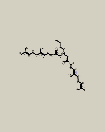 CCCCN(CC(=O)OC/C=C(\C)CCC=C(C)C)CC(=O)OC/C=C(\C)CCC=C(C)C